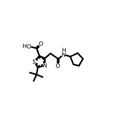 CC(C)(C)c1nc(CC(=O)NC2CCCC2)c(C(=O)O)s1